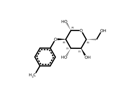 Cc1ccc(O[C@@H]2[C@@H](O)[C@H](O)[C@@H](CO)O[C@H]2O)cc1